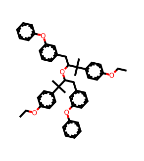 CCOc1ccc(C(C)(C)C(Cc2cccc(Oc3ccccc3)c2)OC(Cc2cccc(Oc3ccccc3)c2)C(C)(C)c2ccc(OCC)cc2)cc1